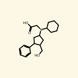 O=C(O)CN(C1CCCCC1)C1CC(CO)C(c2ccccc2)C1